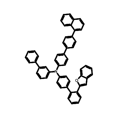 c1ccc(-c2cccc(N(c3ccc(-c4ccc(-c5cccc6ccccc56)cc4)cc3)c3ccc(-c4ccccc4-c4cc5ccccc5o4)cc3)c2)cc1